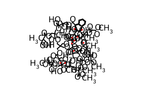 COC(=O)C(=O)OCC(C)(CO)C(=O)OCC(C)(COC(=O)C(C)(CO)CO)C(=O)OCC(COC(=O)C(C)(COC(=O)C(C)(CO)COC(=O)C(=O)OC)COC(=O)C(C)(CO)COC(=O)C(=O)OC)(COC(=O)C(C)(COC(=O)C(C)(CO)COC(=O)C(=O)OC)COC(=O)C(C)(CO)COC(=O)C(=O)OC)COC(=O)C(C)(COC(=O)C(C)(CO)CO)COC(=O)C(C)(CO)COC(=O)c1cccc2ccccc12